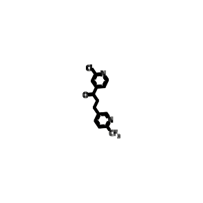 O=C(CCc1ccc(C(F)(F)F)nc1)c1ccnc(Cl)c1